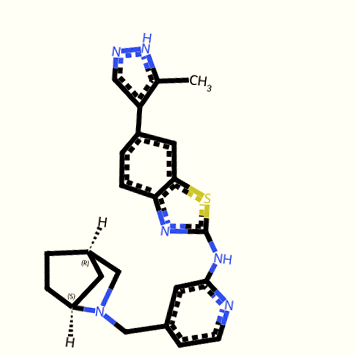 Cc1[nH]ncc1-c1ccc2nc(Nc3cc(CN4C[C@@H]5CC[C@H]4C5)ccn3)sc2c1